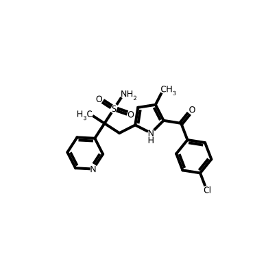 Cc1cc(CC(C)(c2cccnc2)S(N)(=O)=O)[nH]c1C(=O)c1ccc(Cl)cc1